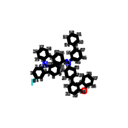 Fc1ccc2c(c1)c1ccccc1n2-c1ccccc1-c1ccc(N(c2ccc(-c3cccc4oc5ccccc5c34)cc2)c2cccc(-c3ccccc3)c2)cc1